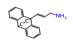 NCC=CC12CCC(c3ccccc31)c1ccccc12